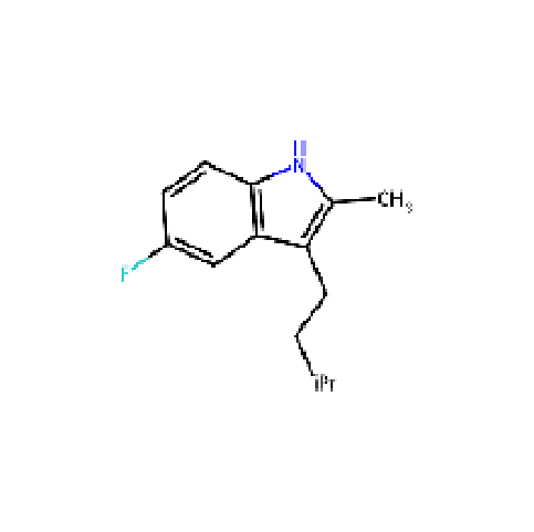 Cc1[nH]c2ccc(F)cc2c1CCC(C)C